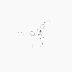 COc1ccc(-c2cc(NC(=O)COCC(=O)O)nc(-c3ccc(CO)cc3)n2)cc1